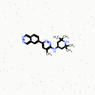 Cc1cc(-c2ccc3cnncc3c2)nnc1NC1CC(C)(C)NC(C)(C)C1